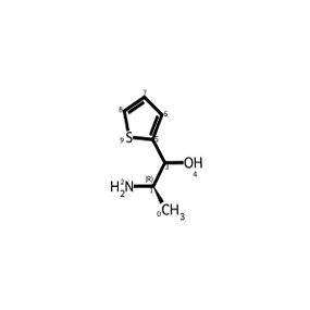 C[C@@H](N)C(O)c1cccs1